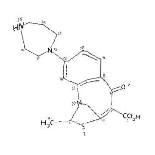 CC1Sc2c(C(=O)O)c(=O)c3ccc(N4CCNCC4)cc3n21